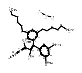 CCCCCCCCCCCCCCCc1cc(CCCCCCCCCCCCCCC)cc(C(=C(CCCC)C(=C=[N+]=[N-])CCCCC)c2cc(CCCCCC)cc(CCCCCC)c2)c1.C[CH2][Pd][CH2]C